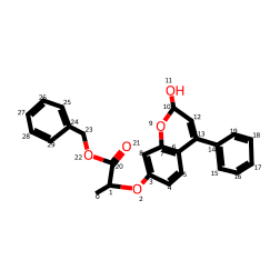 CC(Oc1ccc2c(c1)OC(O)C=C2c1ccccc1)C(=O)OCc1ccccc1